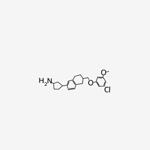 COc1cc(Cl)cc(OCC2CCc3cc(C4CCC(N)C4)ccc3C2)c1